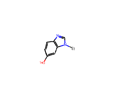 CCn1cnc2ccc(O)cc21